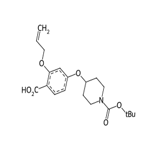 C=CCOc1cc(OC2CCN(C(=O)OC(C)(C)C)CC2)ccc1C(=O)O